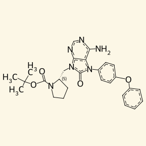 CC(C)(C)OC(=O)N1CCC[C@H]1Cn1c(=O)n(-c2ccc(Oc3ccccc3)cc2)c2c(N)ncnc21